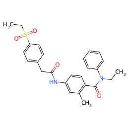 CCN(C(=O)c1ccc(NC(=O)Cc2ccc(S(=O)(=O)CC)cc2)cc1C)c1ccccc1